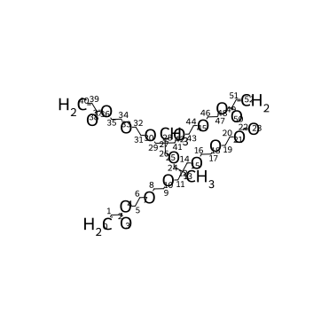 C=CC(=O)OCCOCCOCC(C)(COCCOCCOC=O)COCC(C)(COCCOCCOC(=O)C=C)COCCOCCOC(=O)C=C